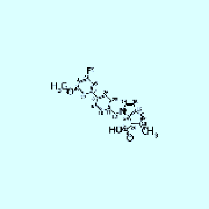 COc1cc(F)cc(-c2ccc(Cn3ccc4sc(C)c(C(=O)O)c43)cc2)c1